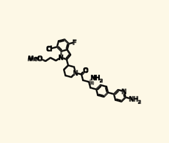 COCCCn1c(C2CCCN(C(=O)C[C@H](N)Cc3ccc(-c4ccc(N)nc4)cc3)C2)cc2c(F)ccc(Cl)c21